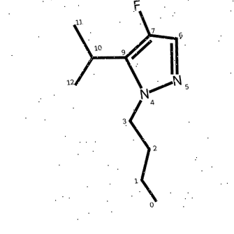 CCCCn1n[c]c(F)c1C(C)C